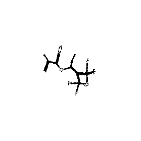 C=C(C)C(=O)OC(C)C1C(F)(F)OC1(F)F